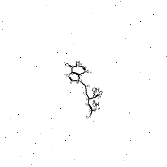 O=c1[nH]cnc2c1ncn2CCC(C=C(F)F)P(=O)(O)O